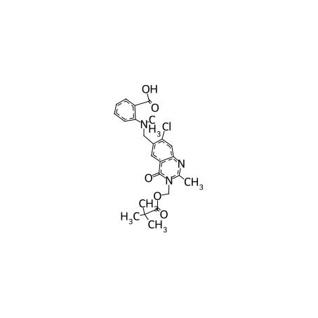 Cc1nc2cc(Cl)c(CN(C)c3ccccc3C(=O)O)cc2c(=O)n1COC(=O)C(C)(C)C